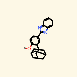 COc1ccc(C2=NC3=CCC=CC3=N2)cc1C12CC3CC(CC(C3)C1)C2